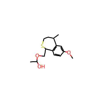 COc1ccc2c(c1)C(C)CCSC2COC(C)O